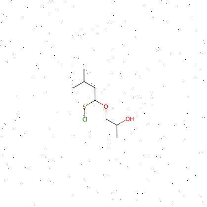 CC(C)CC(OCC(C)O)SCl